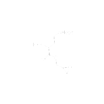 CCCCCCCCCC(C(=O)O)C(=O)OCC1CO1